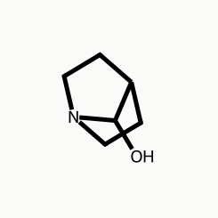 OC1C2CCN1CC2